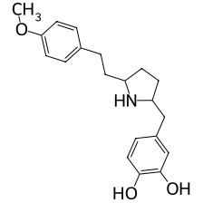 COc1ccc(CCC2CCC(Cc3ccc(O)c(O)c3)N2)cc1